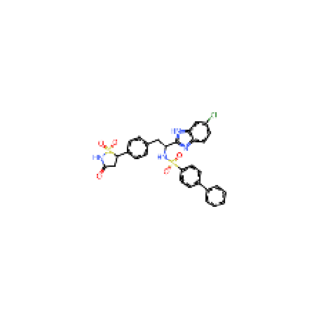 O=C1CC(c2ccc(C[C@H](NS(=O)(=O)c3ccc(-c4ccccc4)cc3)c3nc4ccc(Cl)cc4[nH]3)cc2)S(=O)(=O)N1